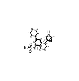 CCS(=O)(=O)Nc1cc(C2CCCCC2)cc2c1CCCC2c1c[nH]cn1